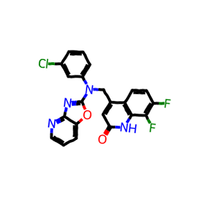 O=c1cc(CN(c2cccc(Cl)c2)c2nc3ncccc3o2)c2ccc(F)c(F)c2[nH]1